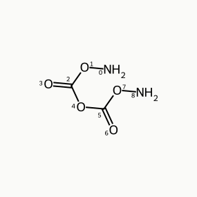 NOC(=O)OC(=O)ON